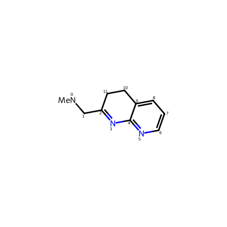 CNCC1=Nc2ncccc2CC1